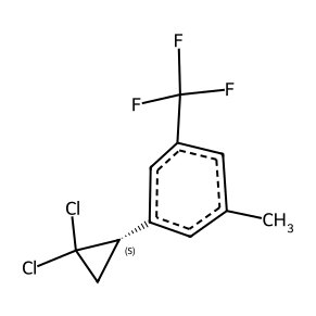 Cc1cc([C@@H]2CC2(Cl)Cl)cc(C(F)(F)F)c1